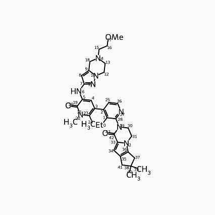 CCc1c(-c2cc(Nc3cc4n(n3)CCN(CCOC)C4)c(=O)n(C)c2C)ccnc1N1CCn2c(cc3c2CC(C)(C)C3)C1=O